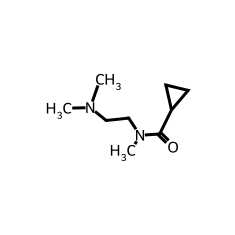 CN(C)CCN(C)C(=O)C1CC1